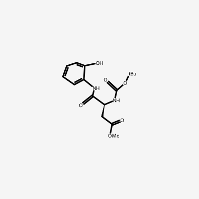 COC(=O)C[C@H](NC(=O)OC(C)(C)C)C(=O)Nc1ccccc1O